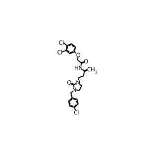 C=C(CCN1CCN(Cc2ccc(Cl)cc2)C1=O)NC(=O)COc1ccc(Cl)c(Cl)c1